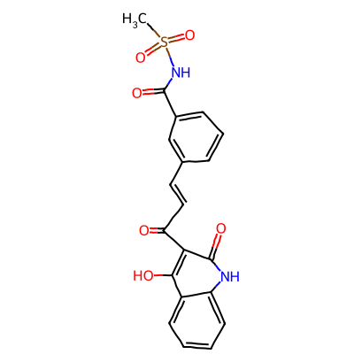 CS(=O)(=O)NC(=O)c1cccc(C=CC(=O)c2c(O)c3ccccc3[nH]c2=O)c1